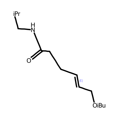 CC(C)CNC(=O)CC/C=C/COCC(C)C